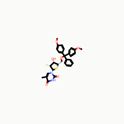 COc1ccc(C(OC[C@@H]2S[C@H](n3cc(C)c(=O)[nH]c3=O)[C@H](F)[C@@H]2O)(c2ccccc2)c2ccc(OC)cc2)cc1